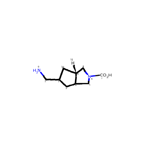 NCC1CC2CN(C(=O)O)C[C@H]2C1